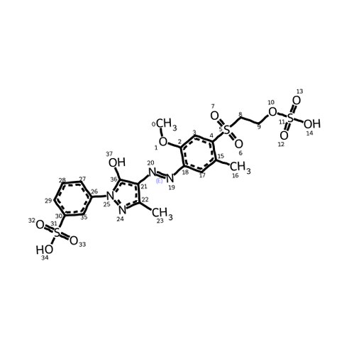 COc1cc(S(=O)(=O)CCOS(=O)(=O)O)c(C)cc1/N=N/c1c(C)nn(-c2cccc(S(=O)(=O)O)c2)c1O